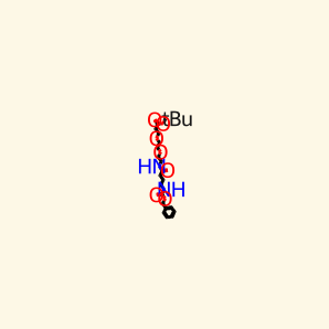 CC(C)(C)OC(=O)CCOCCOCCNC(=O)CCCNC(=O)OCc1ccccc1